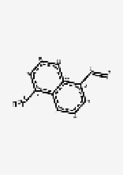 C=Cc1cccc2c(CCC)cccc12